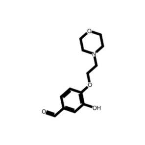 O=Cc1ccc(OCCN2CCOCC2)c(O)c1